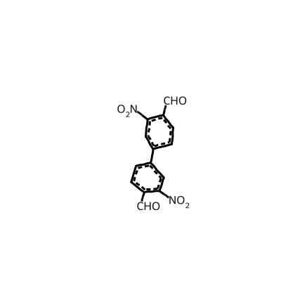 O=Cc1ccc(-c2ccc(C=O)c([N+](=O)[O-])c2)cc1[N+](=O)[O-]